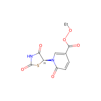 CCOOC(=O)c1ccc(=O)n([C@H]2SC(=O)NC2=O)c1